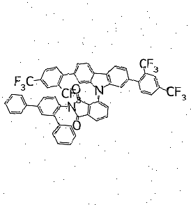 O=C1c2cccc(-n3c4cc(-c5ccc(C(F)(F)F)cc5C(F)(F)F)ccc4c4ccc(-c5ccc(C(F)(F)F)cc5C(F)(F)F)cc43)c2C(=O)N1c1ccc(-c2ccccc2)cc1-c1ccccc1